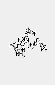 N#Cc1c(N)sc2c(F)ccc(-c3c(Cl)cc4c(N5CCCCC6(CN(C(=O)C7CC8(C7)CC8(F)F)C6)C5)nc(OC[C@@]56CCCN5C[C@H](F)C6)nc4c3F)c12